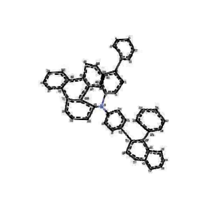 c1ccc(-c2ccc(N(c3ccc(-c4ccc5ccccc5c4-c4ccccc4)cc3)c3cccc4c5ccccc5c5ccccc5c34)cc2)cc1